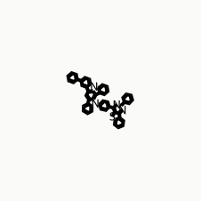 c1ccc(-c2ccc3c(c2)c2cc4c5ccccc5n(-c5ccc(-c6nc(-c7ccccc7)nc7c6sc6ccccc67)cc5)c4c4c5ccccc5n3c24)cc1